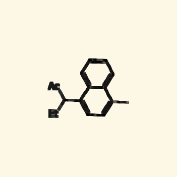 CCC(C(C)=O)c1ccc(C)c2ccccc12